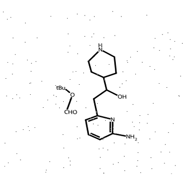 CC(C)(C)OC=O.Nc1cccc(CC(O)C2CCNCC2)n1